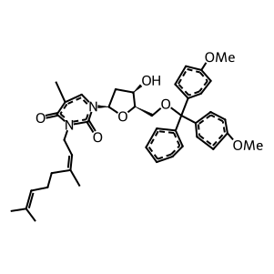 COc1ccc(C(OC[C@H]2O[C@@H](n3cc(C)c(=O)n(CC=C(C)CCC=C(C)C)c3=O)C[C@H]2O)(c2ccccc2)c2ccc(OC)cc2)cc1